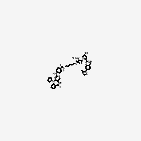 CC(=O)N[C@H](C(=O)N1C[C@H](O)C[C@H]1C(=O)N[C@@H](C)c1ccc(-c2scnc2C)cc1)C(C)(C)SCCCCCNC(=O)c1ccc(Nc2ncc3c(n2)N(C2CCCC2)c2ccccc2C(=O)N3C)cc1